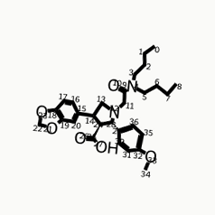 CCCCN(CCCC)C(=O)CN1CC(c2ccc3c(c2)OCO3)[C@H](C(=O)O)[C@H]1c1ccc(OC)cc1